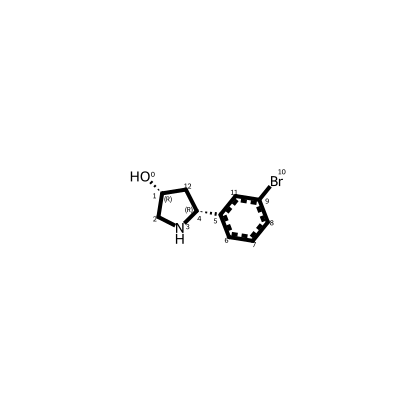 O[C@H]1CN[C@@H](c2cccc(Br)c2)C1